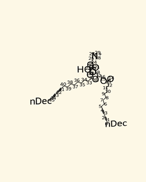 CCCCCCCCCCC#CC#CCCCCCCCCC(=O)OCC(COP(=O)(O)OCC[N+](C)(C)C)OC(=O)CCCCCCCCC#CC#CCCCCCCCCCC